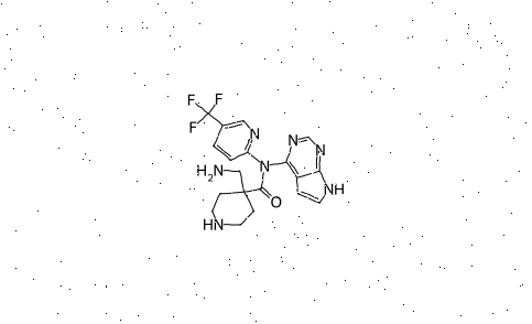 NCC1(C(=O)N(c2ccc(C(F)(F)F)cn2)c2ncnc3[nH]ccc23)CCNCC1